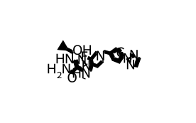 CNCC1(n2cc(C(N)=O)c(NC(O)C3CC3)n2)CCN(Cc2ccc(-n3nccn3)cc2)CC1F